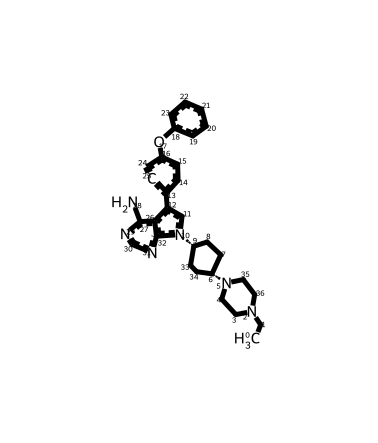 CCN1CCN([C@H]2CC[C@@H](n3cc(-c4ccc(Oc5ccccc5)cc4)c4c(N)ncnc43)CC2)CC1